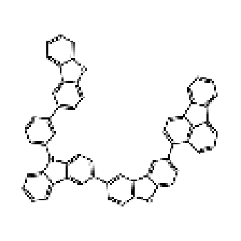 c1cc(-c2ccc3oc4ccccc4c3c2)cc(-n2c3ccccc3c3cc(-c4ccc5oc6ccc(-c7ccc8c9c(cccc79)-c7ccccc7-8)cc6c5c4)ccc32)c1